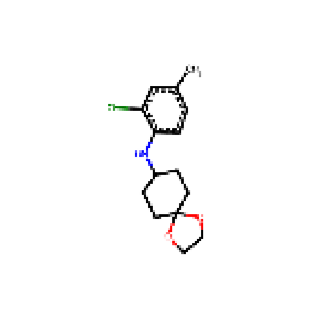 Cc1ccc(NC2CCC3(CC2)OCCO3)c(Cl)c1